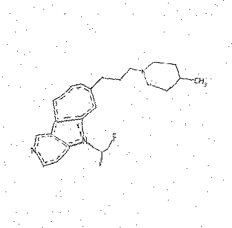 CC1CCN(CCCc2ccc3c4cnccc4n(C(F)F)c3c2)CC1